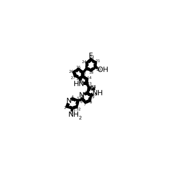 Nc1cncc(-c2ccc3[nH]nc(-c4cc5c(-c6cc(O)cc(F)c6)cccc5[nH]4)c3n2)c1